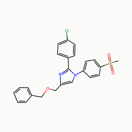 CS(=O)(=O)c1ccc(-n2cc(COCc3ccccc3)nc2-c2ccc(Cl)cc2)cc1